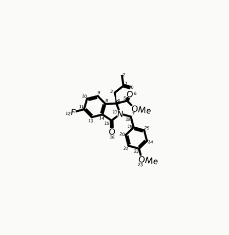 C=C(C)C[C@]1(C(=O)OC)c2ccc(F)cc2C(=O)N1Cc1ccc(OC)cc1